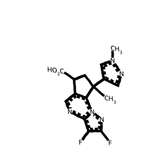 Cn1cc(C2(C)CC(C(=O)O)c3cnc4c(F)c(F)nn4c32)cn1